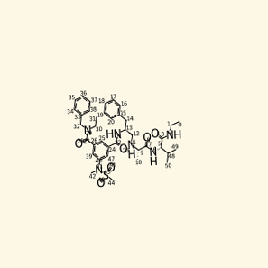 CCNC(=O)[C@@H](NC(=O)[C@H](C)NC[C@H](Cc1ccccc1)NC(=O)c1cc(C(=O)N(CC)Cc2ccccc2)cc(N(C)S(C)(=O)=O)c1)C(C)C